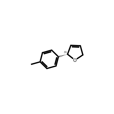 Cc1ccc([C@@H]2C=CCO2)cc1